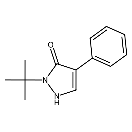 CC(C)(C)n1[nH]cc(-c2ccccc2)c1=O